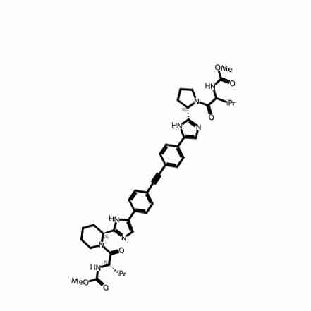 COC(=O)NC(C(=O)N1CCC[C@H]1c1ncc(-c2ccc(C#Cc3ccc(-c4cnc([C@@H]5CCCCN5C(=O)[C@@H](NC(=O)OC)C(C)C)[nH]4)cc3)cc2)[nH]1)C(C)C